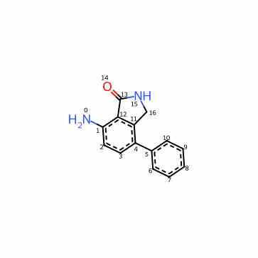 Nc1ccc(-c2ccccc2)c2c1C(=O)NC2